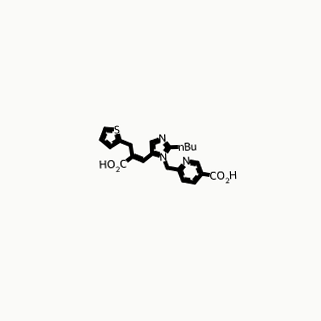 CCCCc1ncc(C=C(Cc2cccs2)C(=O)O)n1Cc1ccc(C(=O)O)cn1